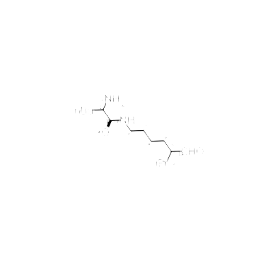 CCCCC(N)C(=O)NCCCCC(C=O)C(C)C